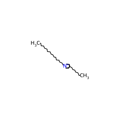 CCCCCCCCCCCCCCCCC[n+]1ccc(CCCCCCC)cc1